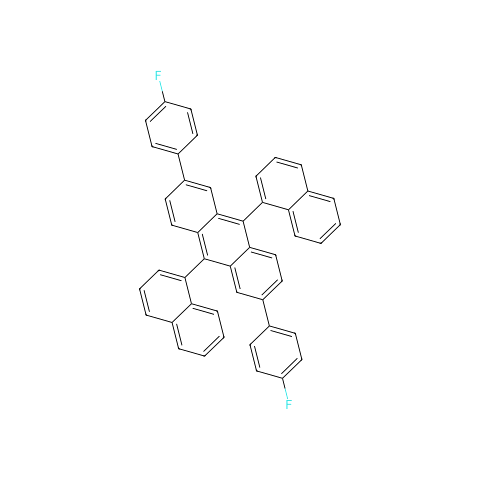 Fc1ccc(-c2ccc3c(-c4cccc5ccccc45)c4cc(-c5ccc(F)cc5)ccc4c(-c4cccc5ccccc45)c3c2)cc1